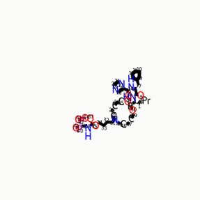 CC(C)C[C@@H](NC(=O)[C@@H](Cc1ccccc1)NC(=O)c1cnccn1)B1OCCCCCN(CCCCOC(=O)NC(P=O)P(=O)=O)CCCCCO1